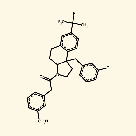 CC(F)(c1ccc2c(c1)CCC1N(C(=O)Cc3cccc(C(=O)O)c3)CCC21Cc1cccc(F)c1)C(F)(F)F